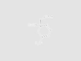 COCC1(C=O)C=CC=C(C(F)(F)F)C1